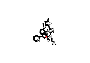 COc1cccc(OC)c1-n1c(-c2ccc(C)o2)nnc1N(CCS(C)(C)C)S(=O)(=O)[C@H](C)[C@H](O)c1ccccn1